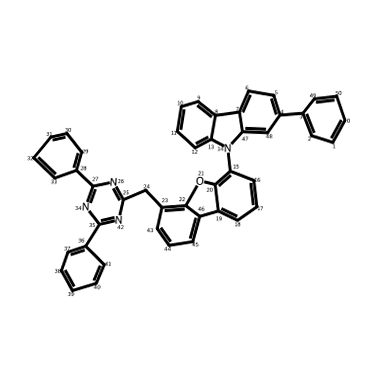 c1ccc(-c2ccc3c4ccccc4n(-c4cccc5c4oc4c(Cc6nc(-c7ccccc7)nc(-c7ccccc7)n6)cccc45)c3c2)cc1